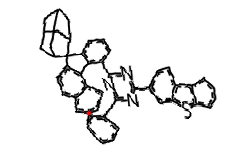 c1ccc(-c2nc(-c3ccc4c(c3)sc3ccccc34)nc(-c3cccc4c3-c3c(ccc5ccccc35)C43C4CC5CC(C4)CC3C5)n2)cc1